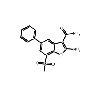 CS(=O)(=O)c1cc(-c2ccccc2)cc2c(C(N)=O)c(N)oc12